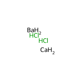 Cl.Cl.[BaH2].[CaH2]